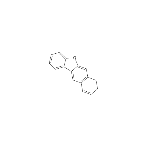 C1=Cc2cc3c(cc2CC1)oc1ccccc13